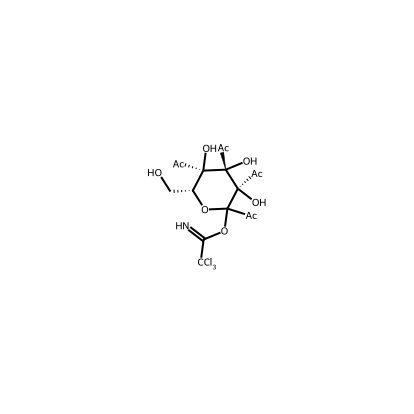 CC(=O)C1(OC(=N)C(Cl)(Cl)Cl)O[C@H](CO)[C@](O)(C(C)=O)[C@@](O)(C(C)=O)[C@]1(O)C(C)=O